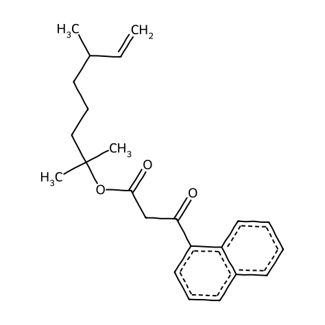 C=CC(C)CCCC(C)(C)OC(=O)CC(=O)c1cccc2ccccc12